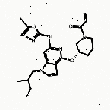 C=CC(=O)N1CCC[C@H](Oc2nc(Nc3ncc(C)s3)cc3c2ccn3CC(C)CC)C1